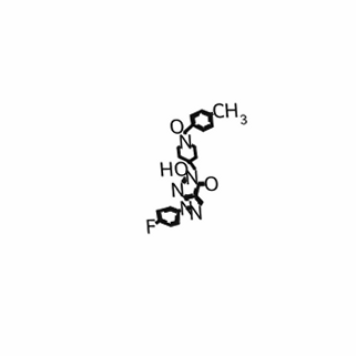 Cc1ccc(C(=O)N2CCC(O)(Cn3cnc4c(cnn4-c4ccc(F)cc4)c3=O)CC2)cc1